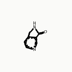 O=C1NCc2ccncc21